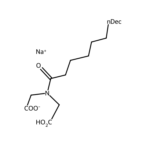 CCCCCCCCCCCCCCCC(=O)N(CC(=O)[O-])CC(=O)O.[Na+]